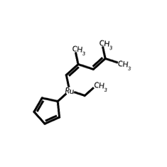 C[CH2][Ru]([CH]=C(C)C=C(C)C)[CH]1C=CC=C1